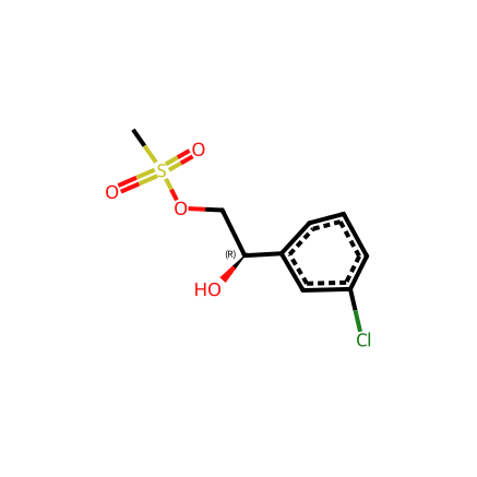 CS(=O)(=O)OC[C@H](O)c1cccc(Cl)c1